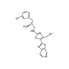 COCc1nc(NC[C@@H](N)Cc2cccc(Cl)c2)sc1-c1nc2ccncc2s1